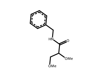 COCC(OC)C(=O)NCc1ccccc1